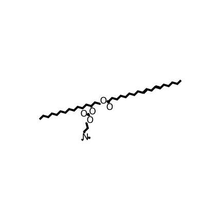 CCCCCC=CCC=CCCCCCCCC(=O)OCCC(CCCCCCCCCCCC)OC(=O)OCCCN(C)C